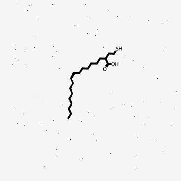 CCCCCCCC/C=C\CCCCCCC(CCS)C(=O)O